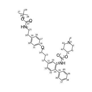 CN1CCC(OC(=O)Nc2cc(CCCOc3ccc(CCNC(=O)OC(C)(C)C)cc3)ccc2-c2ccccc2)CC1